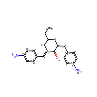 CCC(C)CC1CC(=Cc2ccc(N)cc2)C(=O)C(=Cc2ccc(N)cc2)C1